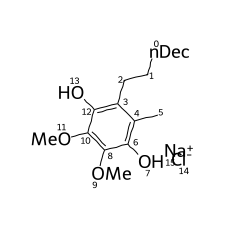 [CH2]CCCCCCCCCCCc1c(C)c(O)c(OC)c(OC)c1O.[Cl-].[Na+]